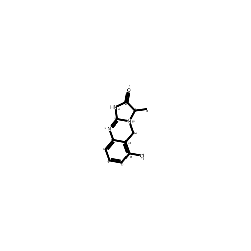 CC1C(=O)NC2=Nc3cccc(Cl)c3CN21